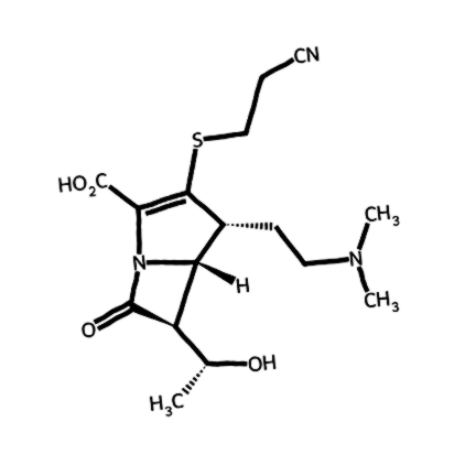 C[C@@H](O)[C@H]1C(=O)N2C(C(=O)O)=C(SCCC#N)[C@H](CCN(C)C)[C@H]12